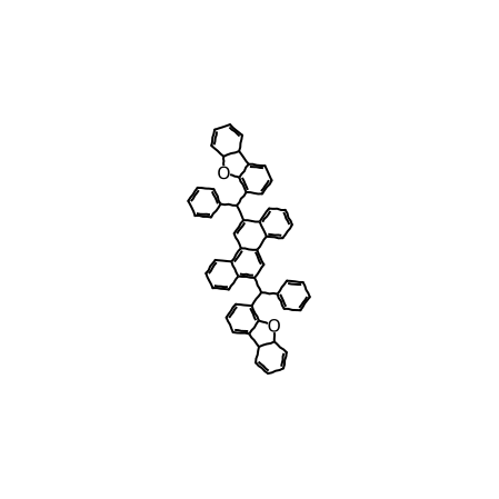 C1=CC2Oc3c(C(c4ccccc4)c4cc5c6ccccc6c(C(c6ccccc6)c6cccc7c6OC6C=CC=CC76)cc5c5ccccc45)cccc3C2C=C1